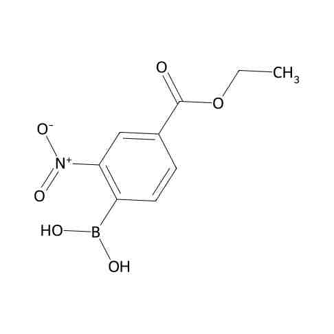 CCOC(=O)c1ccc(B(O)O)c([N+](=O)[O-])c1